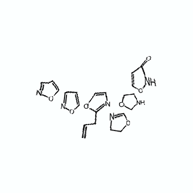 C1=NCCO1.C1COCN1.C=CCc1ncco1.O=c1cco[nH]1.c1cnoc1.c1cnoc1